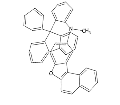 CN(c1ccc2oc3ccc4ccccc4c3c2c1)c1ccccc1C1(c2ccccc2)c2ccccc2-c2ccccc21